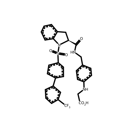 O=C(O)CNc1ccc(CNC(=O)[C@@H]2Cc3ccccc3N2S(=O)(=O)c2ccc(-c3cccc(C(F)(F)F)c3)cc2)cc1